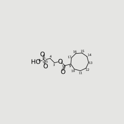 O=C(OCCS(=O)(=O)O)C1CCCCCCCC1